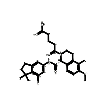 COc1ccc2c(c1C)CCN(C(=O)CCCC(=O)O)[C@H]2C(=O)Nc1cc(F)c2c(c1)CCC2(C)C